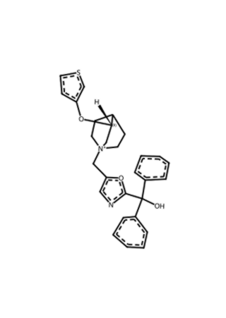 OC(c1ccccc1)(c1ccccc1)c1ncc(C[N+]23CCC(CC2)[C@@H](Oc2ccsc2)C3)o1